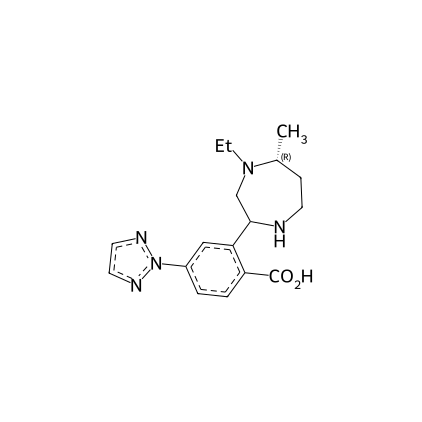 CCN1CC(c2cc(-n3nccn3)ccc2C(=O)O)NCC[C@H]1C